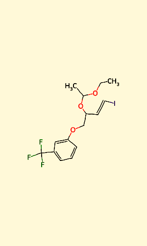 CCOC(C)OC(C=CI)COc1cccc(C(F)(F)F)c1